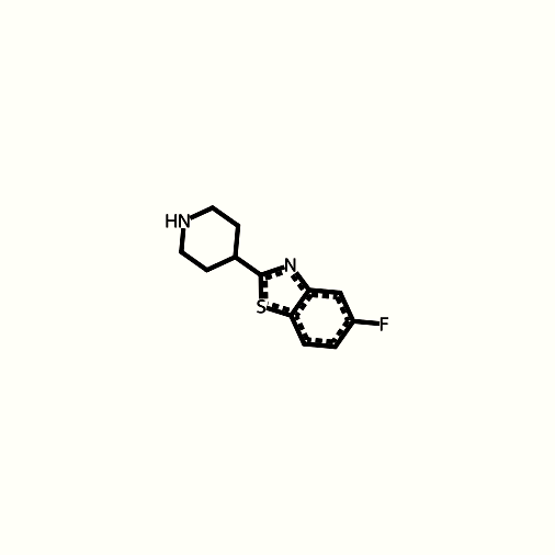 Fc1ccc2sc(C3CCNCC3)nc2c1